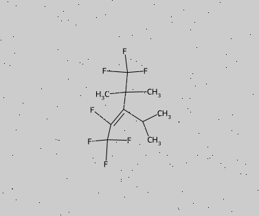 CC(C)C(=C(F)C(F)(F)F)C(C)(C)C(F)(F)F